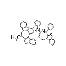 CC1c2ccc3ccccc3c2-c2cc3c(c4c2CC1c1ccccc1-4)c1ccccc1n3C1=C/CCc2c(sc3ccccc23)/C(c2ccccc2)=N\1